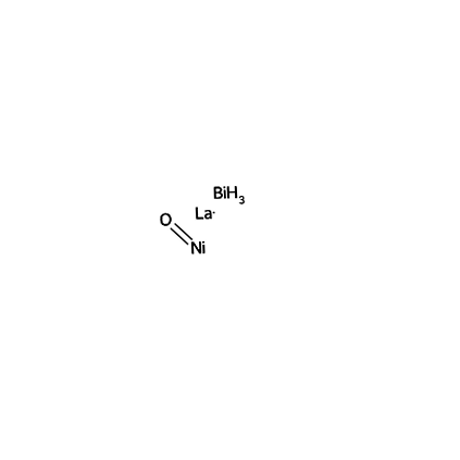 [BiH3].[La].[O]=[Ni]